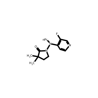 CCCN(c1ccncc1F)N1CCC(C)(C)C1=O